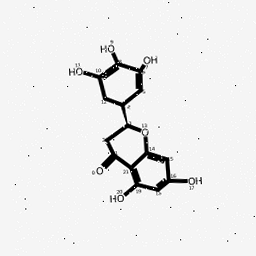 O=C1C[C@@H](C2C=C(O)C(O)=C(O)C2)Oc2cc(O)cc(O)c21